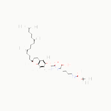 Cc1c(C)c2c(c(C)c1OCC(=O)N[C@@H](CCCCNC(=O)OC(C)(C)C)C(=O)O)CC[C@@](C)(CCC[C@H](C)CCC[C@H](C)CCCC(C)C)O2